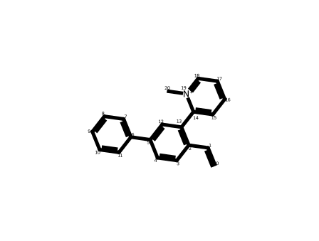 C=Cc1ccc(-c2ccccc2)cc1-c1cccc[n+]1C